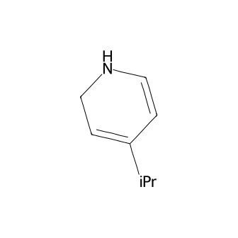 CC(C)C1=CCNC=C1